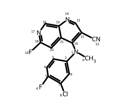 CN(c1ccc(F)c(Cl)c1)c1c(C#N)cnc2cnc(F)cc12